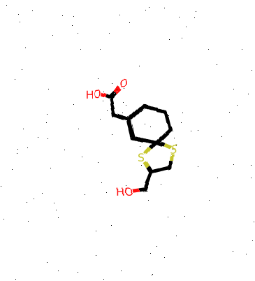 O=C(O)CC1CCCC2(C1)SCC(CO)S2